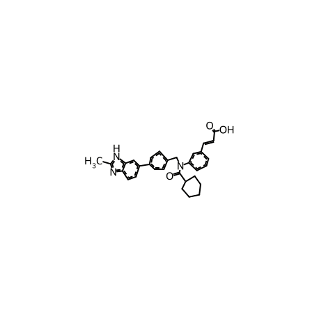 Cc1nc2ccc(-c3ccc(CN(C(=O)C4CCCCC4)c4cccc(/C=C/C(=O)O)c4)cc3)cc2[nH]1